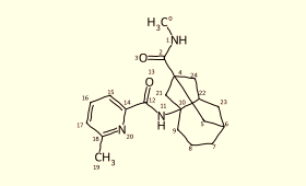 CNC(=O)C12CC3CCCC(NC(=O)c4cccc(C)n4)(C1)C(C3)C2